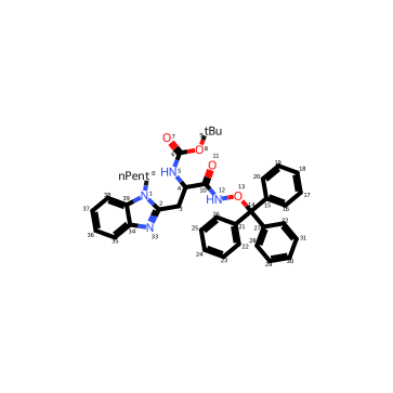 CCCCCn1c(CC(NC(=O)OC(C)(C)C)C(=O)NOC(c2ccccc2)(c2ccccc2)c2ccccc2)nc2ccccc21